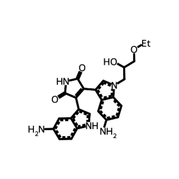 CCOCC(O)Cn1cc(C2=C(c3c[nH]c4ccc(N)cc34)C(=O)NC2=O)c2cc(N)ccc21